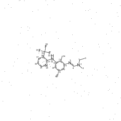 CCN(C)C=Nc1cc(F)cc(Nc2ncccc2C(F)(F)F)c1C